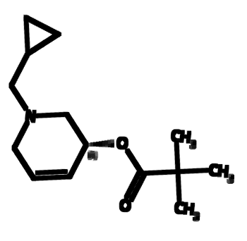 CC(C)(C)C(=O)O[C@@H]1C=CCN(CC2CC2)C1